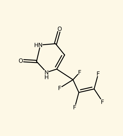 O=c1cc(C(F)(F)C(F)=C(F)F)[nH]c(=O)[nH]1